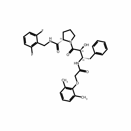 Cc1cccc(C)c1OCC(=O)N[C@@H](Cc1ccccc1)[C@H](O)C(=O)N1CCC[C@H]1C(=O)NCc1c(F)cccc1F